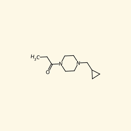 CCC(=O)N1CCN(CC2CC2)CC1